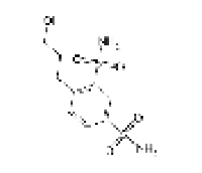 NS(=O)(=O)c1ccc(CCCO)c(S(N)(=O)=O)c1